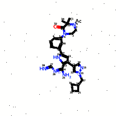 CC(=O)N1CCN(c2cccc(-c3cc(-c4cnn(CC5CCC5)c4)c(/C(N)=N\C=N)[nH]3)c2)C(=O)C1(C)C